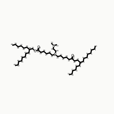 CCCCCCCCC(CCCCCC)CCC(=O)CCCCCN(CCCCCC(=O)OCC(CCCCCC)CCCCCCCC)CCN(C)C